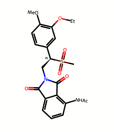 CCOc1cc([C@H](CN2C(=O)c3cccc(NC(C)=O)c3C2=O)S(C)(=O)=O)ccc1OC